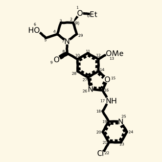 CCO[C@@H]1CC(CO)N(C(=O)c2cc(OC)c3oc(NCc4cc(Cl)ccn4)nc3c2)C1